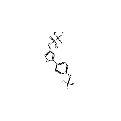 O=S(=O)(Oc1coc(-c2ccc(OC(F)(F)F)cc2)n1)C(F)(F)F